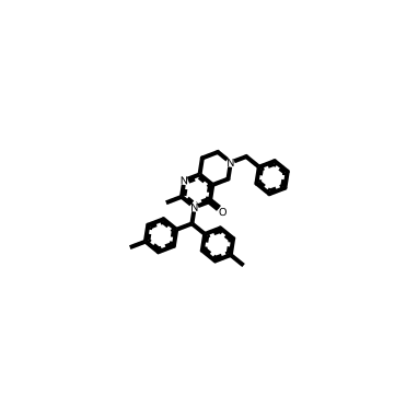 Cc1ccc(C(c2ccc(C)cc2)n2c(C)nc3c(c2=O)CN(Cc2ccccc2)CC3)cc1